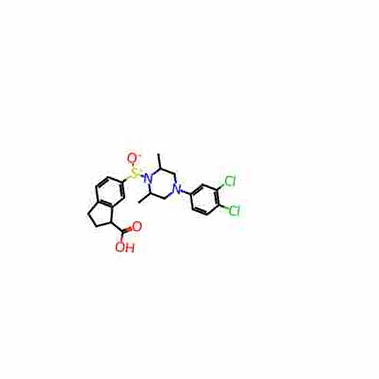 CC1CN(c2ccc(Cl)c(Cl)c2)CC(C)N1[S+]([O-])c1ccc2c(c1)C(C(=O)O)CC2